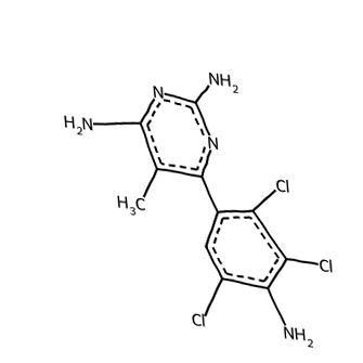 Cc1c(N)nc(N)nc1-c1cc(Cl)c(N)c(Cl)c1Cl